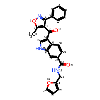 Cc1onc(-c2ccccc2)c1C(=O)c1c[nH]c2cc(C(=O)NCc3ccco3)ccc12